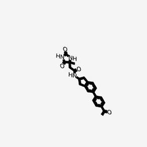 CC(=O)c1ccc(-c2ccc3c(c2)CC(NC(=O)CC2(C)NC(=O)NC2=O)C3)cc1